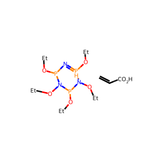 C=CC(=O)O.CCON1P(OCC)N=[PH](OCC)N(OCC)P1OCC